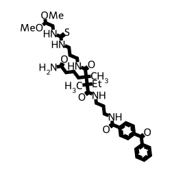 CCC(C)(C(=O)NCCCNC(=O)c1ccc(C(=O)c2ccccc2)cc1)C(C)(CCCC(N)=O)C(=O)NCCCNC(=S)NCC(OC)OC